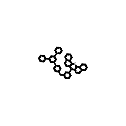 c1ccc(-c2cc(-c3ccccc3)cc(-c3ccc(Cc4cccc(-c5c6ccc7ccccc7c6nc6c5ccc5ccccc56)c4)cc3)c2)cc1